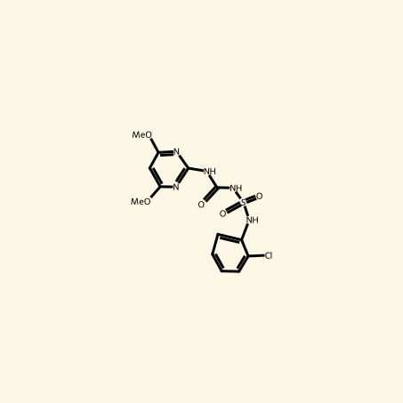 COc1cc(OC)nc(NC(=O)NS(=O)(=O)Nc2ccccc2Cl)n1